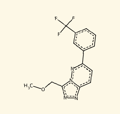 COCc1nnc2ccc(-c3cccc(C(F)(F)F)c3)nn12